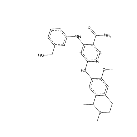 COc1cc2c(cc1Nc1nnc(C(N)=O)c(Nc3cccc(CO)c3)n1)C(C)N(C)CC2